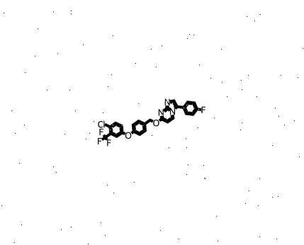 Fc1ccc(-c2cnc3nc(OCc4ccc(Oc5ccc(Cl)c(C(F)(F)F)c5)cc4)ccn23)cc1